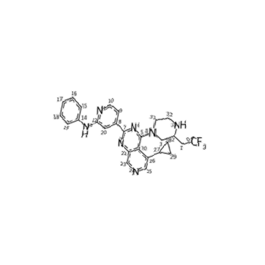 FC(F)(F)CC1CN(c2nc(-c3ccnc(Nc4ccccc4)c3)nc3cncc(C4CC4)c23)CCN1